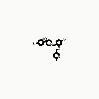 Cc1ccc(COc2cc(Br)ccc2CN2CCC(O)(c3ccc(Br)cc3)CC2)cn1